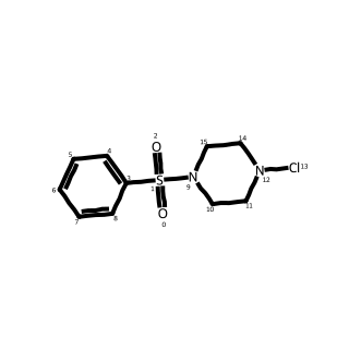 O=S(=O)(c1ccccc1)N1CCN(Cl)CC1